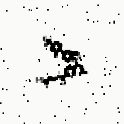 Cc1cc(C(F)(F)F)ccc1-c1ccc2c(cnn2C(CC(C)C)c2ccc(C(=O)NCCC(=O)O)nc2)c1